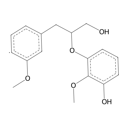 COc1[c]ccc(CC(CO)Oc2cccc(O)c2OC)c1